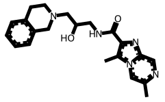 Cc1cn2c(C)c(C(=O)NCC(O)CN3CCc4ccccc4C3)nc2cn1